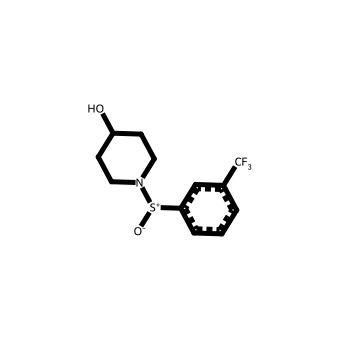 [O-][S+](c1cccc(C(F)(F)F)c1)N1CCC(O)CC1